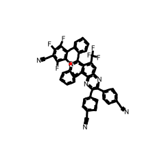 N#Cc1ccc(-c2nc3cc(C(F)(F)F)c4c(-c5ccccc5-c5c(F)c(F)c(C#N)c(F)c5F)nc5ccccc5c4c3nc2-c2ccc(C#N)cc2)cc1